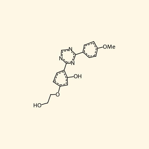 COc1ccc(-c2ncnc(-c3ccc(OCCO)cc3O)n2)cc1